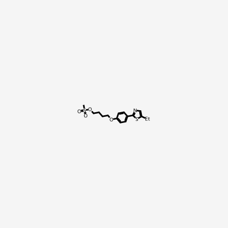 CCc1cnc(-c2ccc(OCCCCOS(C)(=O)=O)cc2)s1